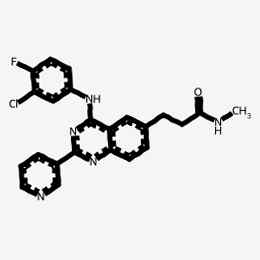 CNC(=O)CCc1ccc2nc(-c3cccnc3)nc(Nc3ccc(F)c(Cl)c3)c2c1